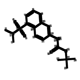 CN(C)S(=O)(=O)c1cccc2cc(NC(=O)OC(C)(C)C)ccc12